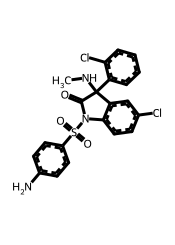 CNC1(c2ccccc2Cl)C(=O)N(S(=O)(=O)c2ccc(N)cc2)c2ccc(Cl)cc21